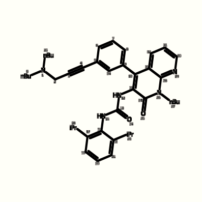 CCCCN(CC#Cc1cccc(-c2c(NC(=O)Nc3c(C(C)C)cccc3C(C)C)c(=O)n(CCCC)c3ncccc23)c1)CCCC